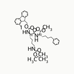 COC(=O)[C@H](CCCCc1ccccc1)NC(=O)[C@H](CCCCNC(=O)OC(C)(C)C)NC(=O)OCC1c2ccccc2-c2cccc(I)c21